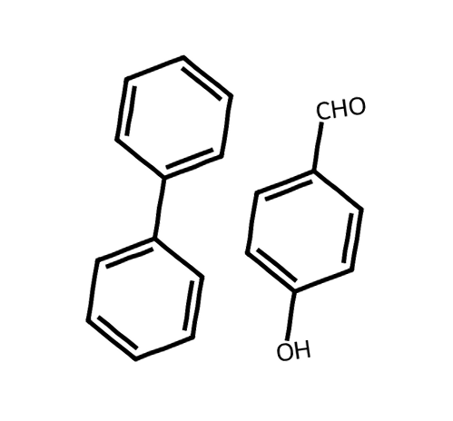 O=Cc1ccc(O)cc1.c1ccc(-c2ccccc2)cc1